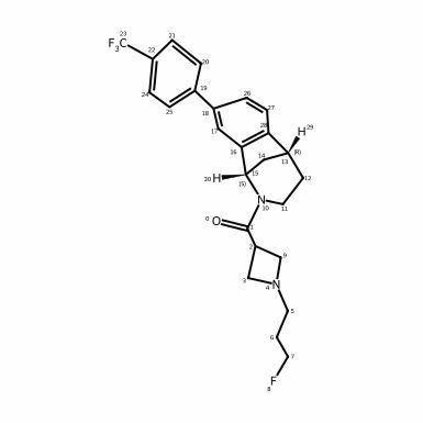 O=C(C1CN(CCCF)C1)N1CC[C@@H]2C[C@H]1c1cc(-c3ccc(C(F)(F)F)cc3)ccc12